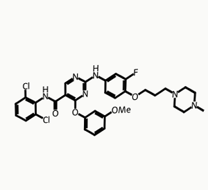 COc1cccc(Oc2nc(Nc3ccc(OCCCN4CCN(C)CC4)c(F)c3)ncc2C(=O)Nc2c(Cl)cccc2Cl)c1